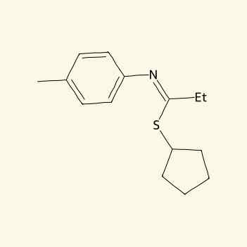 CCC(=Nc1ccc(C)cc1)SC1CCCC1